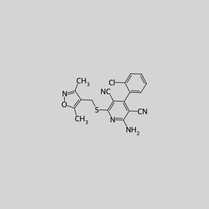 Cc1noc(C)c1CSc1nc(N)c(C#N)c(-c2ccccc2Cl)c1C#N